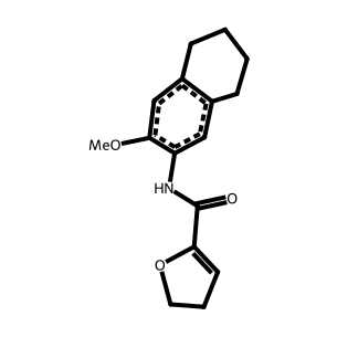 COc1cc2c(cc1NC(=O)C1=CCCO1)CCCC2